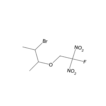 CC(Br)C(C)OCC(F)([N+](=O)[O-])[N+](=O)[O-]